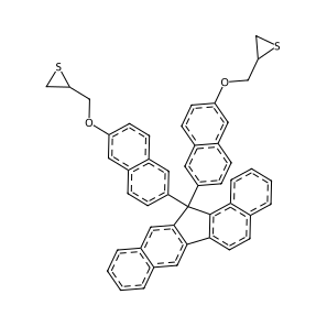 c1ccc2cc3c(cc2c1)-c1ccc2ccccc2c1C3(c1ccc2cc(OCC3CS3)ccc2c1)c1ccc2cc(OCC3CS3)ccc2c1